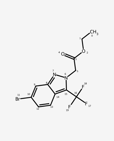 CCOC(=O)Cn1nc2cc(Br)ccc2c1C(F)(F)F